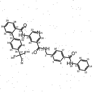 O=C(NCc1ccc(C(=O)Nc2ccccc2)cc1)c1cncc(NC(=O)c2ccccc2-c2ccc(C(F)(F)F)cc2)c1